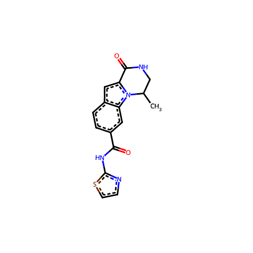 CC1CNC(=O)c2cc3ccc(C(=O)Nc4nccs4)cc3n21